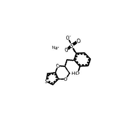 O=S(=O)([O-])c1cccc(O)c1CC1COc2cscc2O1.[Na+]